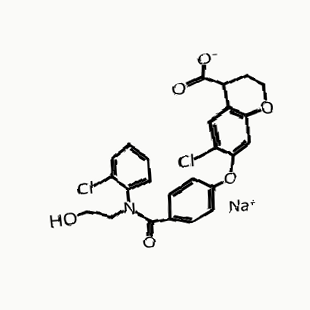 O=C([O-])C1CCOc2cc(Oc3ccc(C(=O)N(CCO)c4ccccc4Cl)cc3)c(Cl)cc21.[Na+]